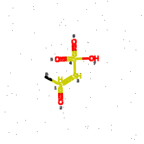 C/[SH](=O)=[SH]\S(=O)(=O)O